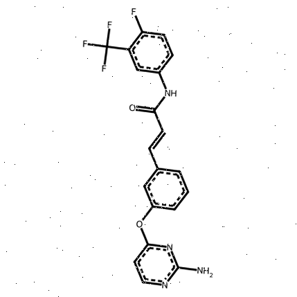 Nc1nccc(Oc2cccc(C=CC(=O)Nc3ccc(F)c(C(F)(F)F)c3)c2)n1